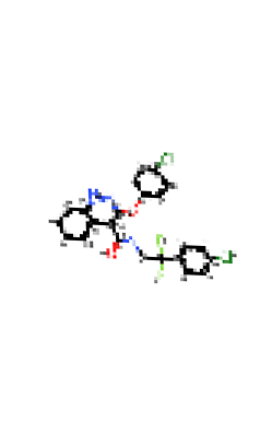 O=C(NCC(F)(F)c1ccc(Cl)cc1)c1c(Oc2ccc(Cl)cc2)nnc2ccccc12